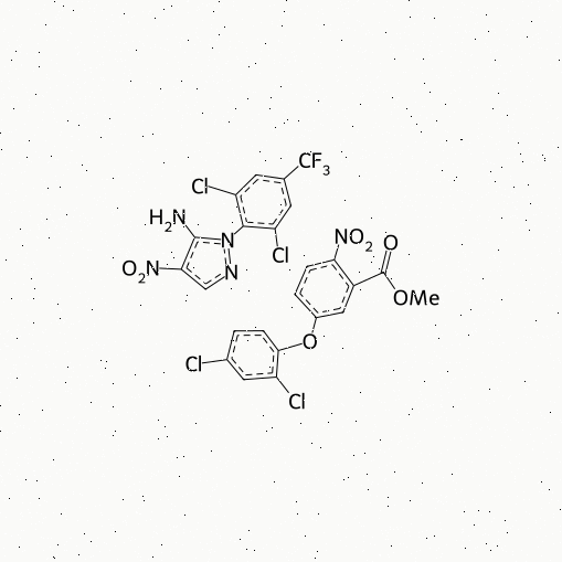 COC(=O)c1cc(Oc2ccc(Cl)cc2Cl)ccc1[N+](=O)[O-].Nc1c([N+](=O)[O-])cnn1-c1c(Cl)cc(C(F)(F)F)cc1Cl